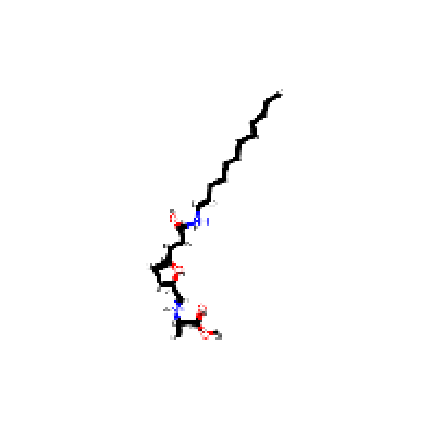 CCCCCCCCCCCCNC(=O)CCc1ccc(/C=N/C(C)C(=O)OC)o1